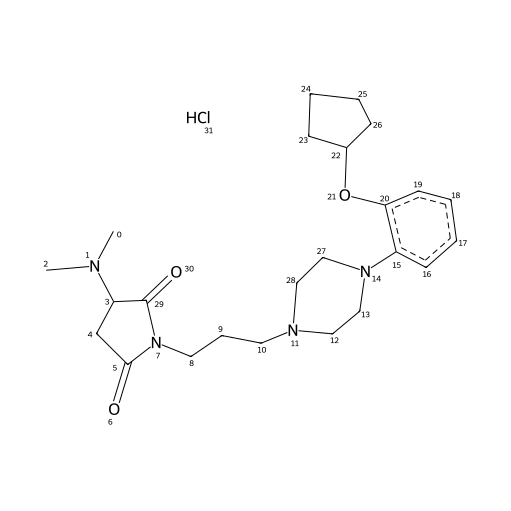 CN(C)C1CC(=O)N(CCCN2CCN(c3ccccc3OC3CCCC3)CC2)C1=O.Cl